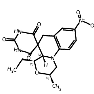 CC[C@@H]1O[C@H](C)CN2c3ccc([N+](=O)[O-])cc3CC3(C(=O)NC(=O)NC3=O)[C@@H]12